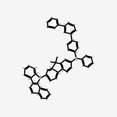 CC1(C)c2cc(N(c3ccccc3)c3ccc(-c4cccc(-c5ccccc5)c4)cc3)ccc2-c2ccc(-n3c4ccccc4c4ccc5ccccc5c43)cc21